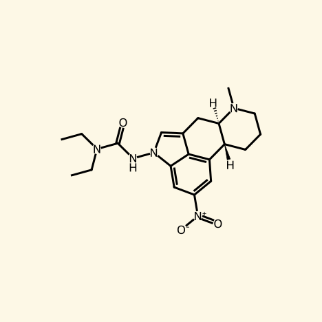 CCN(CC)C(=O)Nn1cc2c3c(cc([N+](=O)[O-])cc31)[C@H]1CCCN(C)[C@@H]1C2